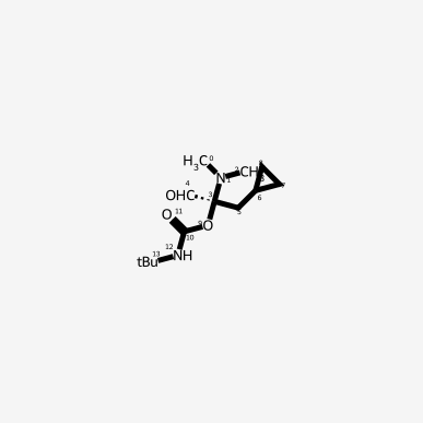 CN(C)[C@@](C=O)(CC1CC1)OC(=O)NC(C)(C)C